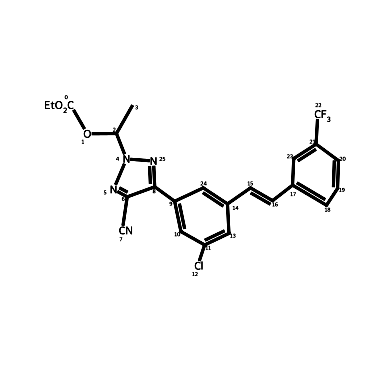 CCOC(=O)OC(C)n1nc(C#N)c(-c2cc(Cl)cc(/C=C/c3cccc(C(F)(F)F)c3)c2)n1